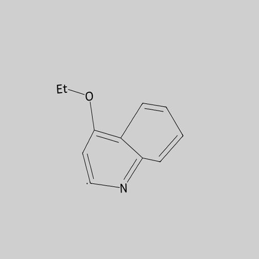 CCOc1c[c]nc2ccccc12